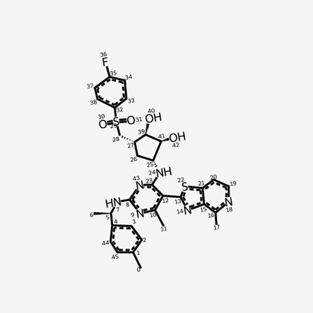 Cc1ccc([C@@H](C)Nc2nc(C)c(-c3nc4c(C)nccc4s3)c(N[C@@H]3C[C@H](CS(=O)(=O)c4ccc(F)cc4)[C@@H](O)[C@H]3O)n2)cc1